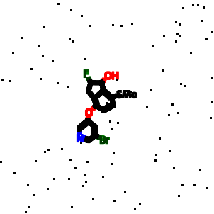 CSc1ccc(Oc2cncc(Br)c2)c2c1C(O)C(F)C2